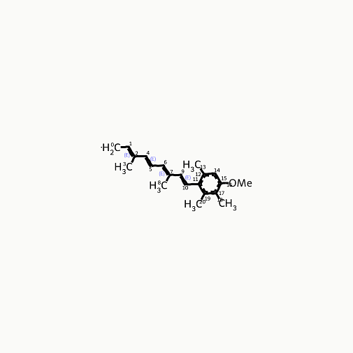 [CH2]/C=C(C)/C=C/C=C(C)/C=C/c1c(C)cc(OC)c(C)c1C